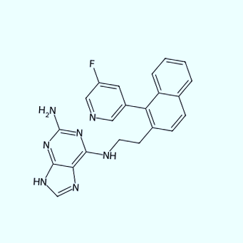 Nc1nc(NCCc2ccc3ccccc3c2-c2cncc(F)c2)c2nc[nH]c2n1